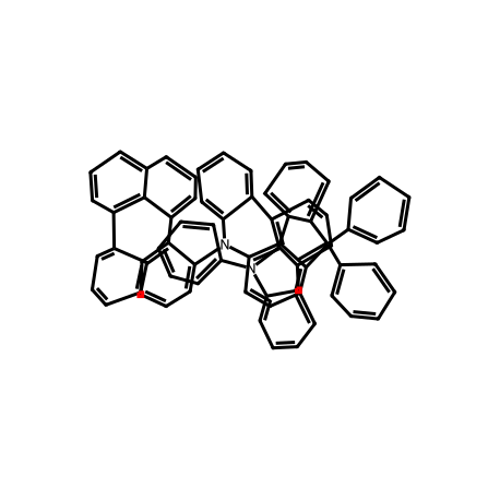 c1ccc(-c2cccc3cccc(-c4ccccc4N(c4ccccc4-c4cccc5c6ccccc6n(-c6ccccc6)c45)c4cccc5c4-c4ccccc4C5(c4ccccc4)c4ccccc4)c23)cc1